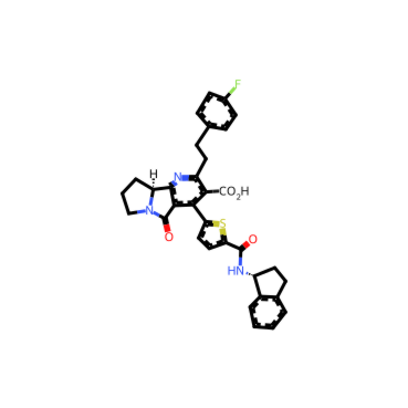 O=C(N[C@@H]1CCc2ccccc21)c1ccc(-c2c(C(=O)O)c(CCc3ccc(F)cc3)nc3c2C(=O)N2CCC[C@@H]32)s1